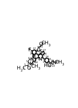 C=CC(=O)N1CCn2nc(-c3nc(-c4ccc(C5(O)CN(C)C5)cc4)c4ccsc4c3-c3c(F)cc(F)cc3OCCOC)cc2C1C